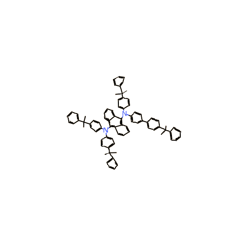 CC(C)(c1ccccc1)c1ccc(-c2ccc(N(c3ccc(C(C)(C)c4ccccc4)cc3)c3c4ccccc4c(N(c4ccc(C(C)(C)c5ccccc5)cc4)c4ccc(C(C)(C)c5ccccc5)cc4)c4ccccc34)cc2)cc1